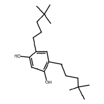 CC(C)(C)CCCc1cc(CCCC(C)(C)C)c(O)cc1O